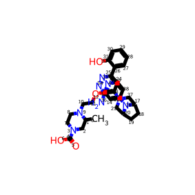 CC1CN(C(=O)O)CCN1CCOc1cc(N2C3CCC2CN(c2cc(-c4ccccc4O)nnc2N)C3)ccn1